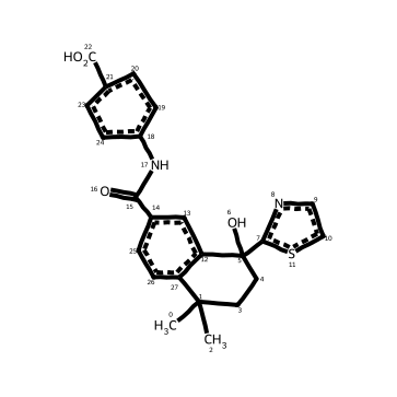 CC1(C)CCC(O)(c2nccs2)c2cc(C(=O)Nc3ccc(C(=O)O)cc3)ccc21